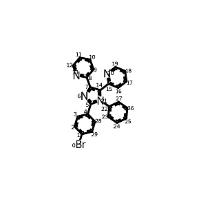 Brc1ccc(-c2nc(-c3ccccn3)c(-c3ccccn3)n2-c2ccccc2)cc1